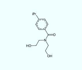 CC(C)c1ccc(C(=O)N(CCO)CCO)cc1